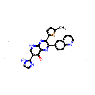 Cc1ccc(-c2nc3[nH]cc(-c4ncc[nH]4)c(=O)c3nc2-c2ccc3ncccc3c2)s1